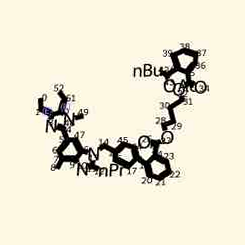 C/C=c1/nc(-c2cc(C)c3nc(CCC)n(Cc4ccc(-c5ccccc5C(=O)OCCCCOC(=O)c5ccccc5C(CCCC)OC(C)=O)cc4)c3c2)n(C)/c1=C/C